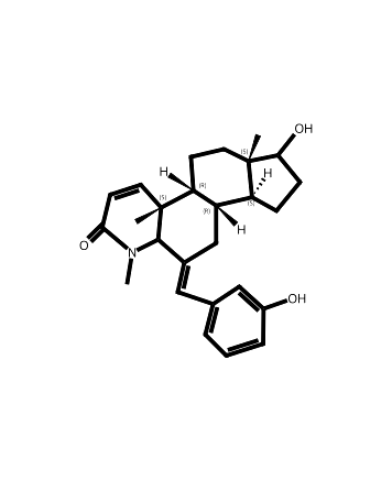 CN1C(=O)C=C[C@@]2(C)C1C(=Cc1cccc(O)c1)C[C@@H]1[C@H]2CC[C@]2(C)C(O)CC[C@@H]12